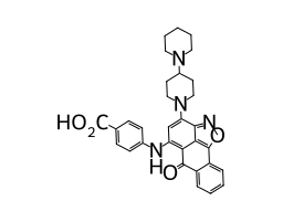 O=C(O)c1ccc(Nc2cc(N3CCC(N4CCCCC4)CC3)c3noc4c3c2C(=O)c2ccccc2-4)cc1